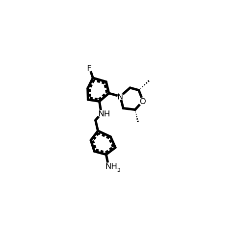 C[C@@H]1CN(c2cc(F)ccc2NCc2ccc(N)cc2)C[C@H](C)O1